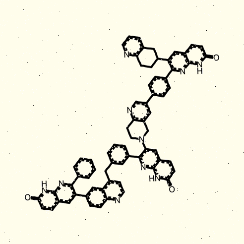 O=c1ccc2cc(-c3ccc4nccc(Cc5cccc(-c6nc7[nH]c(=O)ccc7cc6N6CCc7ncc(-c8ccc(-c9nc%10[nH]c(=O)ccc%10cc9C9CCc%10ncccc%10C9)cc8)cc7C6)c5)c4c3)c(-c3ccccc3)nc2[nH]1